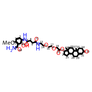 COc1ccc(NC(=O)CCC(=O)NCCOCCOCC(=O)OC2CCC3C4CCC5=CC(=O)CCC5(C)C4CCC23C)c(O)c1C(N)=O